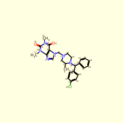 CC1CN(Cn2cnc3c2c(=O)n(C)c(=O)n3C)CCN1C(c1ccccc1)c1ccc(Cl)cc1